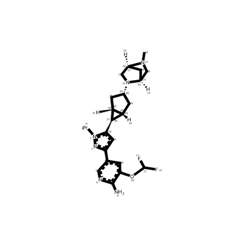 CC(C)n1nc(-c2cnc(N)c(OC(F)F)c2)cc1[C@H]1[C@@H]2C[C@H](N3C[C@@H]4C[C@H]3CN4C)C[C@@H]21